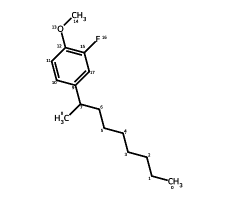 CCCC[CH]CCC(C)c1ccc(OC)c(F)c1